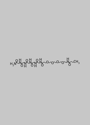 CCCC(=O)NCCOCCOCCOCCOCCC(=O)NCC(=O)NCC(=O)NCC(=O)NCC(=O)NCC(N)=O